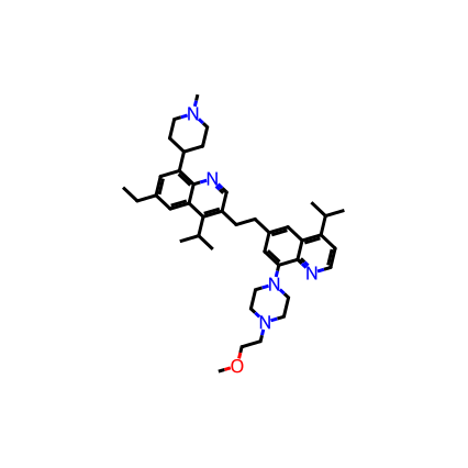 CCc1cc(C2CCN(C)CC2)c2ncc(CCc3cc(N4CCN(CCOC)CC4)c4nccc(C(C)C)c4c3)c(C(C)C)c2c1